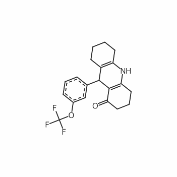 O=C1CCCC2=C1C(c1cccc(OC(F)(F)F)c1)C1=C(CCCC1)N2